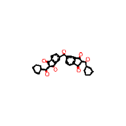 O=C(c1ccc2c(c1)C(=O)C(C(=O)C1CCCCC1)C2=O)c1ccc2c(c1)C(=O)C(C(=O)C1CCCCC1)C2=O